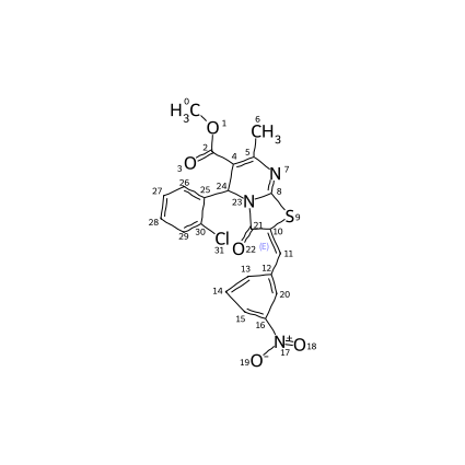 COC(=O)C1=C(C)N=c2s/c(=C/c3cccc([N+](=O)[O-])c3)c(=O)n2C1c1ccccc1Cl